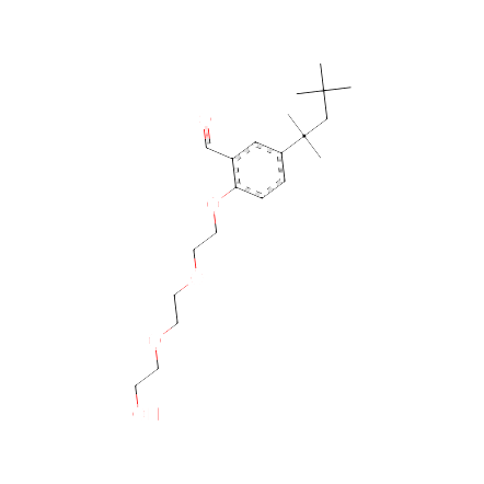 CC(C)(C)CC(C)(C)c1ccc(OCCOCCOCCO)c(C=O)c1